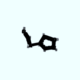 O=C=Nc1cnoc1